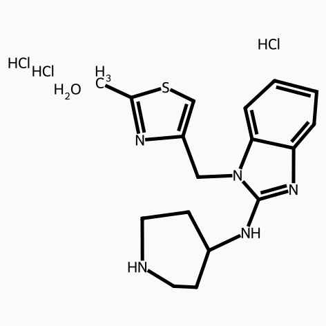 Cc1nc(Cn2c(NC3CCNCC3)nc3ccccc32)cs1.Cl.Cl.Cl.O